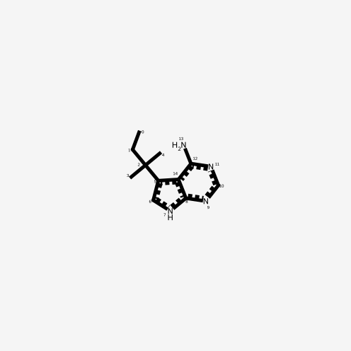 CCC(C)(C)c1c[nH]c2ncnc(N)c12